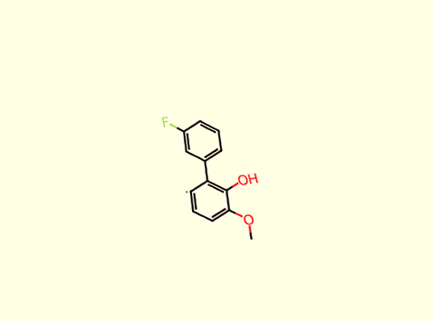 COc1cc[c]c(-c2cccc(F)c2)c1O